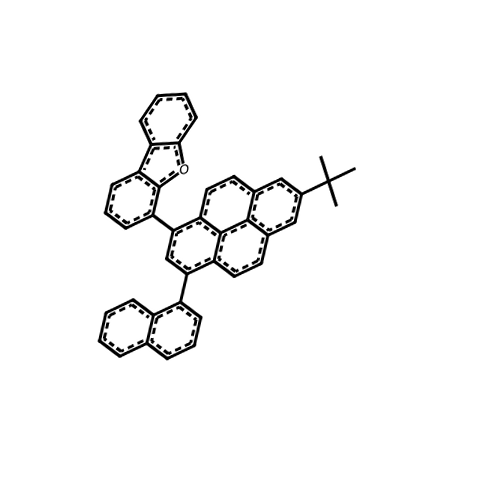 CC(C)(C)c1cc2ccc3c(-c4cccc5ccccc45)cc(-c4cccc5c4oc4ccccc45)c4ccc(c1)c2c34